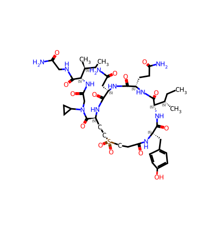 CC[C@H](C)[C@H](NC(=O)CN(C(=O)[C@@H]1CCS(=O)(=O)CCC(=O)N[C@@H](Cc2ccc(O)cc2)C(=O)N[C@@H]([C@@H](C)CC)C(=O)N[C@@H](CCC(N)=O)C(=O)N[C@@H](CC(N)=O)C(=O)N1)C1CC1)C(=O)NCC(N)=O